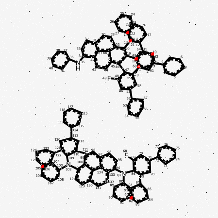 Fc1cc(-c2ccccc2)cc(-c2ccccc2)c1-c1c(Nc2ccccc2)c2ccc3ccc(Nc4ccccc4)c4ccc(c1-c1c(F)cc(-c5ccccc5)cc1-c1ccccc1)c2c34.Fc1cc(-c2ccccc2)cc(-c2ccccc2)c1N(c1ccccc1)c1ccc2ccc3c(N(c4ccccc4)c4c(F)cc(-c5ccccc5)cc4-c4ccccc4)ccc4ccc1c2c43